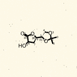 CC1(C)OC[C@@H]([C@H]2CC(O)C(=O)O2)O1